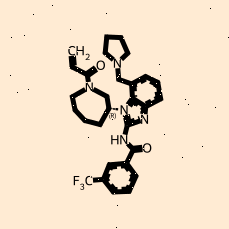 C=CC(=O)N1CCCC[C@@H](n2c(NC(=O)c3cccc(C(F)(F)F)c3)nc3cccc(CN4CCCC4)c32)C1